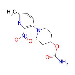 Cc1ccc(N2CCC(OC(N)=O)CC2)c([N+](=O)[O-])n1